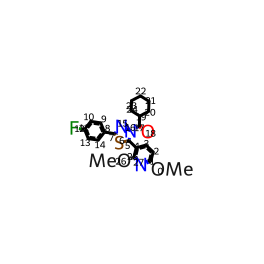 COc1ccc(C2SC(c3ccc(F)cc3)=NN2C(=O)C2CCCCC2)c(OC)n1